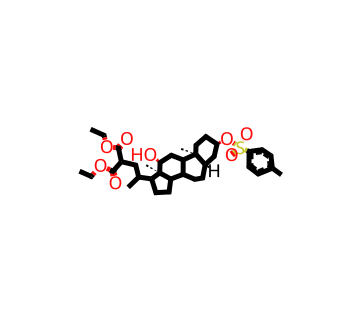 CCOC(=O)C(CC(C)C1CCC2C3CC[C@@H]4C[C@H](OS(=O)(=O)c5ccc(C)cc5)CC[C@]4(C)C3C[C@H](O)[C@]12C)C(=O)OCC